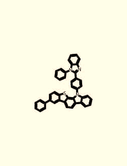 c1ccc(-c2ccc3sc4c(ccc5c6ccccc6n(-c6ccc(-c7nc8ccccc8n7-c7ccccc7)cc6)c54)c3c2)cc1